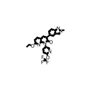 CCOc1ccc2cc(-c3ccc4nn(C)cc4c3)c(=O)n(-c3ccc(OC(F)(F)F)nc3)c2n1